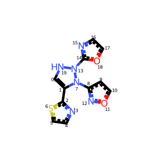 [C]1=C(c2nccs2)N(c2ccon2)N(c2ncco2)N1